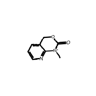 C[N+]1C(=O)OCc2cccnc21